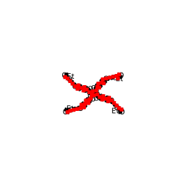 CCC1(COCCCCOc2ccc(-c3ccc(C(=O)Oc4cc(OC(=O)c5ccc(-c6ccc(OCCCCOCC7(CC)COC7)cc6)cc5)c(OC(=O)c5ccc(-c6ccc(OCCCCOCC7(CC)COC7)cc6)cc5)cc4OC(=O)c4ccc(-c5ccc(OCCCCOCC6(CC)COC6)cc5)cc4)cc3)cc2)COC1